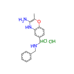 CC1=C(N)Nc2cc(CNCc3ccccc3)ccc2O1.Cl.Cl